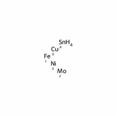 [Cu].[Fe].[Mo].[Ni].[SnH4]